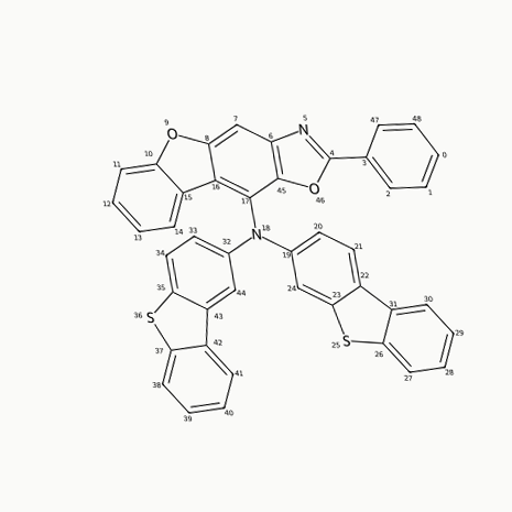 c1ccc(-c2nc3cc4oc5ccccc5c4c(N(c4ccc5c(c4)sc4ccccc45)c4ccc5sc6ccccc6c5c4)c3o2)cc1